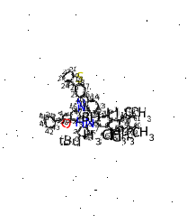 CC(C)(C)c1ccc(Nc2cc3c(cc2-c2ccc4c5cc6sc7ccccc7c6cc5n5c4c2Bc2cc4oc(-c6ccccc6)cc4cc2-5)-c2cc4c(cc2C3(C)C)C(C)(C)CCC4(C)C)cc1